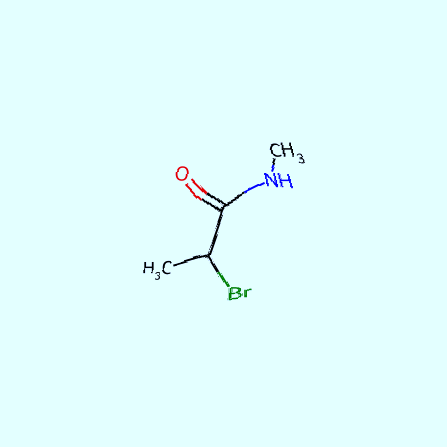 CNC(=O)C(C)Br